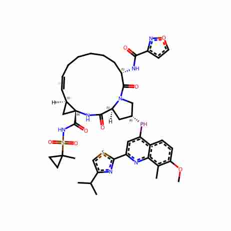 COc1ccc2c(P[C@@H]3C[C@H]4C(=O)N[C@]5(C(=O)NS(=O)(=O)C6(C)CC6)C[C@H]5/C=C\CCCCC[C@H](NC(=O)c5ccon5)C(=O)N4C3)cc(-c3nc(C(C)C)cs3)nc2c1C